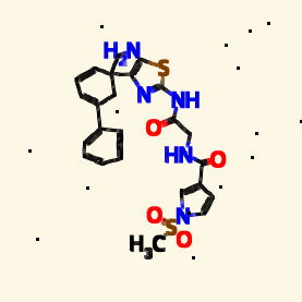 CS(=O)(=O)n1ccc(C(=O)NCC(=O)Nc2nc(C3(CN)C=CC=C(c4ccccc4)C3)cs2)c1